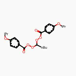 [CH2]CCC[C](OOC(=O)c1ccc(OC(C)C)cc1)OOC(=O)c1ccc(OC(C)C)cc1